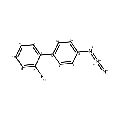 [N-]=[N+]=Nc1ccc(-c2ccccc2F)cc1